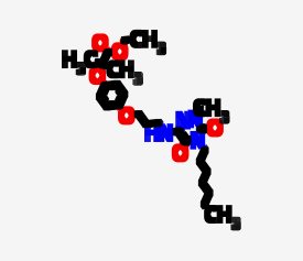 CCCCCCCn1c(=O)c(NCCCOc2ccc(OC(C)(C)C(=O)OCC)cc2)nn(C)c1=O